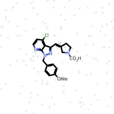 COc1ccc(Cn2nc(/C=C3/CCN(C(=O)O)C3)c3c(Cl)ccnc32)cc1